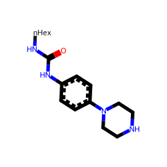 CCCCCCNC(=O)Nc1ccc(N2CCNCC2)cc1